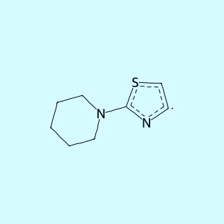 [c]1csc(N2CCCCC2)n1